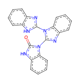 O=c1[nH]c2ccccc2n1-c1nc2ccccc2n1-c1nc2ccccc2[nH]1